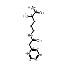 NC(=O)C(O)CCCNC(=O)[CH]c1ccccn1